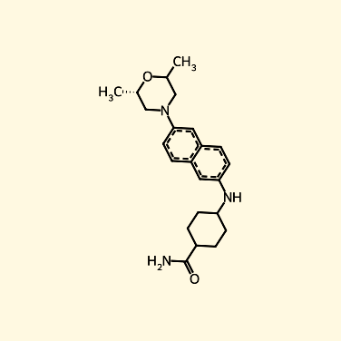 CC1CN(c2ccc3cc(NC4CCC(C(N)=O)CC4)ccc3c2)C[C@H](C)O1